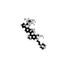 COc1cc2c(C3C(=O)Nc4cc(-c5cccn5C(=O)OC(C)(C)C)ccc43)ncnc2cc1OCCCN1CCOCC1